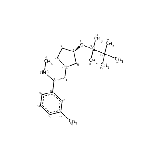 CN[C@H](CN1CC[C@@H](O[Si](C)(C)C(C)(C)C)C1)c1cccc(C)c1